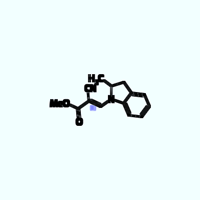 COC(=O)/C(C#N)=C/N1c2ccccc2CC1C